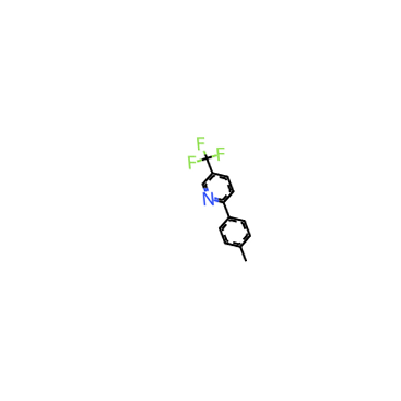 Cc1ccc(-c2ccc(C(F)(F)F)cn2)cc1